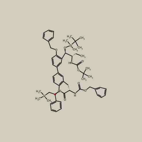 CC[C@H](NC(=O)OC(C)(C)C)[C@H](O[Si](C)(C)C(C)(C)C)c1cc(-c2ccc(OCc3ccccc3)c(C[C@H](NC(=O)OCc3ccccc3)C(=O)OCC[Si](C)(C)C)c2)ccc1OCc1ccccc1